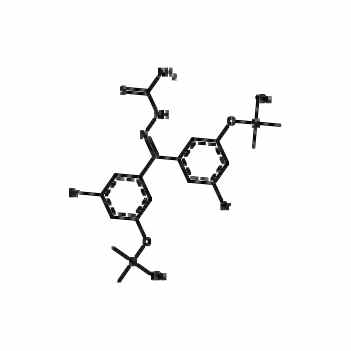 CC(C)(C)[Si](C)(C)Oc1cc(Br)cc(C(=NNC(N)=S)c2cc(Br)cc(O[Si](C)(C)C(C)(C)C)c2)c1